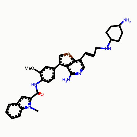 COc1cc(-c2csc3c(C=CCNC4CCC(N)CC4)cnc(N)c23)ccc1NC(=O)c1cc2ccccc2n1C